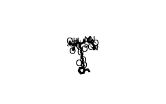 CCc1ccccc1OC(=O)OCCOC(=O)C1=C(c2cn3cnc(S(=O)(=O)N(C)C)c3s2)[C@H](C)[C@@H]2[C@@H]([C@@H](C)O)C(=O)N12